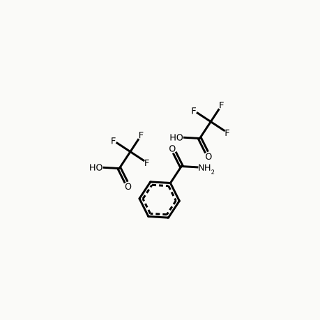 NC(=O)c1ccccc1.O=C(O)C(F)(F)F.O=C(O)C(F)(F)F